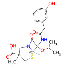 CC(C)OC1(NC(=O)Cc2cccc(O)c2)C(=O)N2CC(C)(C(=O)O)CS[C@@H]21